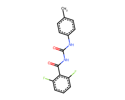 Cc1ccc(NC(=O)NC(=O)c2c(F)cccc2F)cc1